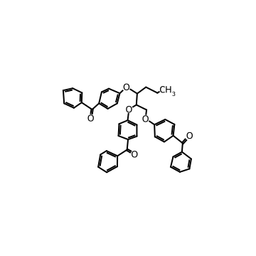 CCCC(Oc1ccc(C(=O)c2ccccc2)cc1)C(COc1ccc(C(=O)c2ccccc2)cc1)Oc1ccc(C(=O)c2ccccc2)cc1